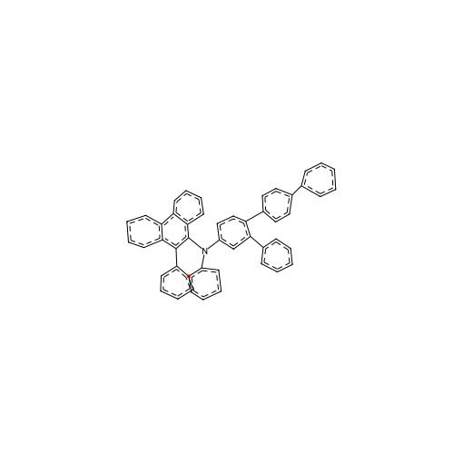 c1ccc(-c2ccc(-c3ccc(N(c4ccccc4)c4c(-c5ccccc5)c5ccccc5c5ccccc45)cc3-c3ccccc3)cc2)cc1